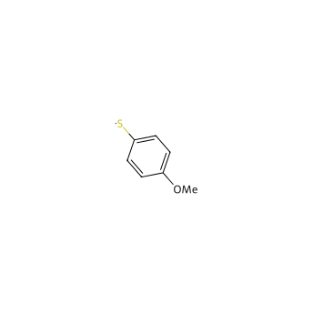 COc1ccc([S])cc1